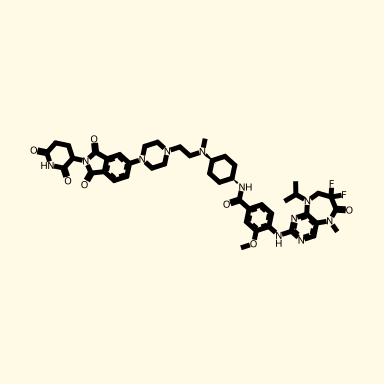 COc1cc(C(=O)N[C@H]2CC[C@H](N(C)CCN3CCN(c4ccc5c(c4)C(=O)N(C4CCC(=O)NC4=O)C5=O)CC3)CC2)ccc1Nc1ncc2c(n1)N(C(C)C)CC(F)(F)C(=O)N2C